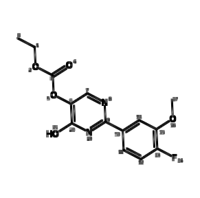 CCOC(=O)Oc1cnc(-c2ccc(F)c(OC)c2)nc1O